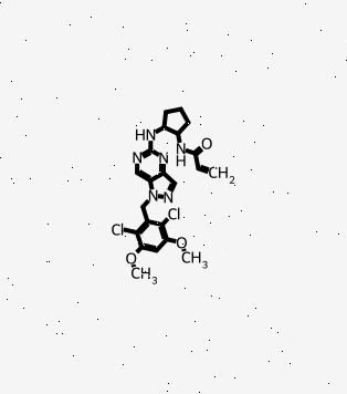 C=CC(=O)NC1CCCC1Nc1ncc2c(cnn2Cc2c(Cl)c(OC)cc(OC)c2Cl)n1